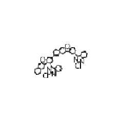 Clc1nc(-c2ccc3oc4cc5ccc(-c6cc(-c7nc(Cl)nc8ccccc78)c7c(c6)oc6cc8ccccc8cc67)cc5cc4c3c2)c2ccccc2n1